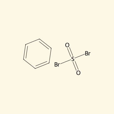 O=S(=O)(Br)Br.c1ccccc1